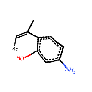 CC(=O)/C=C(/C)c1ccc(N)cc1O